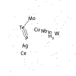 P#[Te][Mo].[Ag].[Ce].[Cu].[InH3].[Nb].[W]